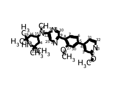 COc1cc(-c2ccc(-c3cnc(N(C)C4CC(C)(C)NC(C)(C)C4)cn3)c(OC)c2)ccn1